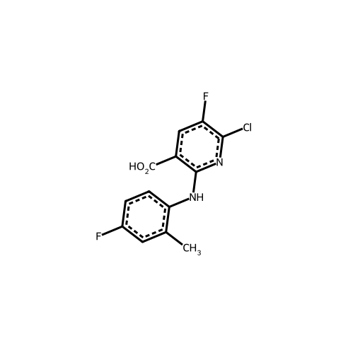 Cc1cc(F)ccc1Nc1nc(Cl)c(F)cc1C(=O)O